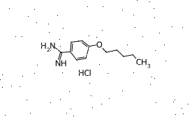 CCCCCOc1ccc(C(=N)N)cc1.Cl